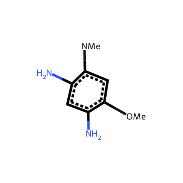 CNc1cc(OC)c(N)cc1N